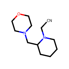 N#CCN1CCCCC1CN1CCOCC1